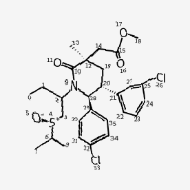 CCC(C[S@+]([O-])C(C)C)N1C(=O)[C@@](C)(CC(=O)OC)C[C@H](c2cccc(Cl)c2)[C@H]1c1ccc(Cl)cc1